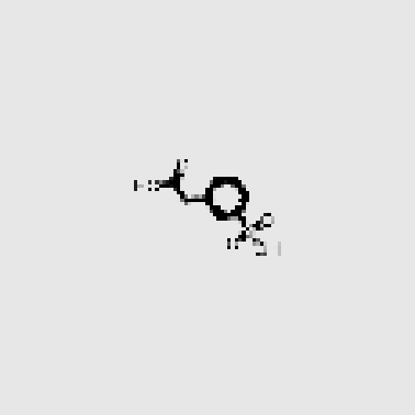 O=C(O)Cc1cccc(S(=O)(=O)O)c1